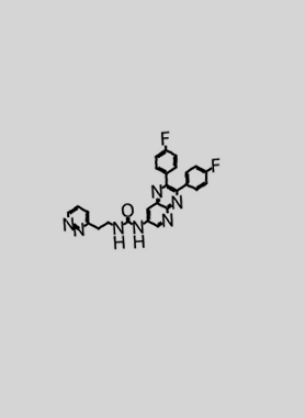 O=C(NCCc1cccnn1)Nc1cnc2nc(-c3ccc(F)cc3)c(-c3ccc(F)cc3)nc2c1